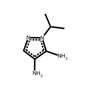 CC(C)n1ncc(N)c1N